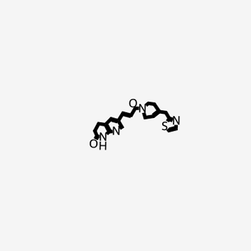 O=C1CCc2cc(C=CC(=O)N3CC=C(Cc4nccs4)CC3)cnc2N1